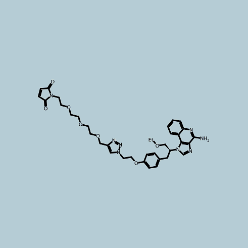 CCOC[C@H](Cc1ccc(OCCn2cc(COCCOCCOCCN3C(=O)C=CC3=O)nn2)cc1)n1cnc2c(N)nc3ccccc3c21